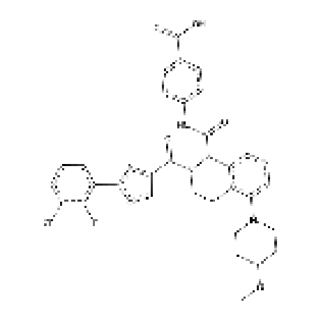 COC1CCN(c2cccc3c2CCN(C(=O)c2coc(-c4cccc(Cl)c4F)n2)C3C(=O)Nc2ccc(C(=O)O)cc2)CC1